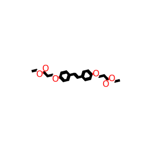 CCOC(=O)CCOc1ccc(/C=C/c2ccc(OCCC(=O)OCC)cc2)cc1